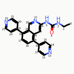 CCNC(=O)Nc1cc2c(-c3ccncc3)ccc(-c3ccncc3)c2cn1